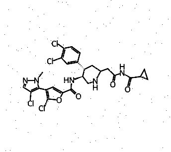 Cn1ncc(Cl)c1-c1cc(C(=O)N[C@@H]2CNC(CC(=O)NC(=O)C3CC3)C[C@H]2c2ccc(Cl)c(Cl)c2)oc1Cl